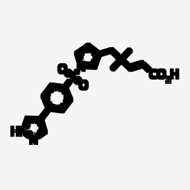 CC(C)(/C=C/C(=O)O)Cc1ccn(S(=O)(=O)c2ccc(-c3cn[nH]c3)cc2)c1